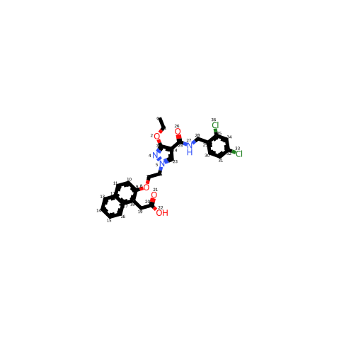 CCOc1nn(CCOc2ccc3ccccc3c2CC(=O)O)cc1C(=O)NCc1ccc(Cl)cc1Cl